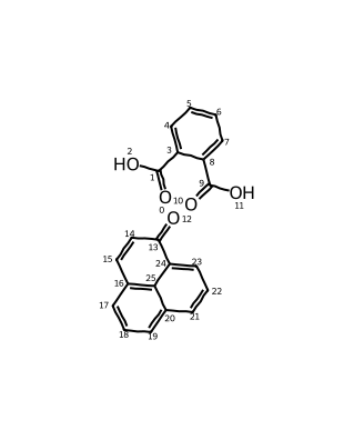 O=C(O)c1ccccc1C(=O)O.O=C1C=Cc2cccc3cccc1c23